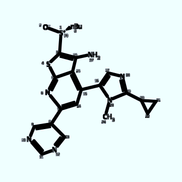 CCCC[S@+]([O-])c1sc2nc(-c3cncnc3)cc(-c3cnc(C4CC4)n3C)c2c1N